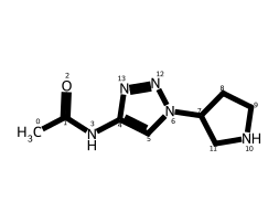 CC(=O)Nc1cn(C2CCNC2)nn1